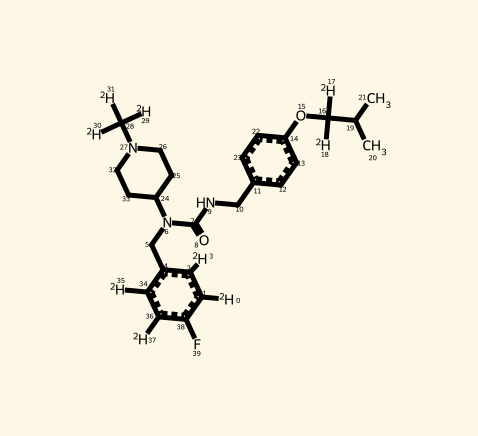 [2H]c1c([2H])c(CN(C(=O)NCc2ccc(OC([2H])([2H])C(C)C)cc2)C2CCN(C([2H])([2H])[2H])CC2)c([2H])c([2H])c1F